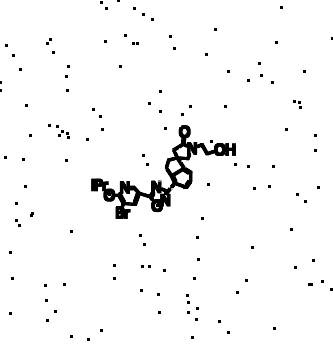 CC(C)Oc1ncc(-c2nc(-c3cccc4c3CCC43CC(=O)N(CCO)C3)no2)cc1Br